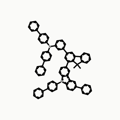 CC1(C)c2ccccc2-c2cc(-c3cccc(N(c4ccc(-c5ccccc5)cc4)c4ccc(-c5ccccc5)cc4)c3)cc(-c3ccc4c(c3)c3cc(-c5ccccc5)ccc3n4-c3ccc(-c4ccccc4)cc3)c21